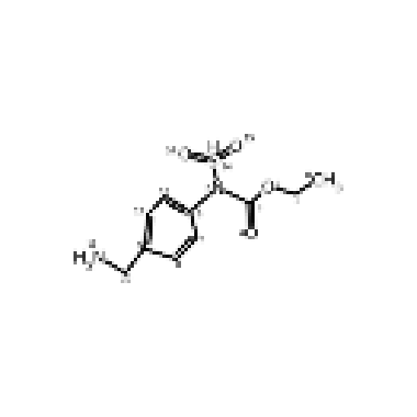 CCOC(=O)N(c1ccc(CN)cc1)[SH](=O)=O